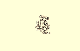 COc1cc2ncnc(Nc3cc(F)cc(Cl)c3F)c2cc1O[C@H]1CCNC1